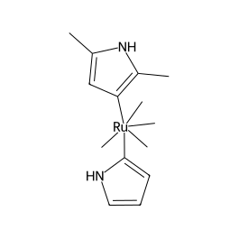 Cc1c[c]([Ru]([CH3])([CH3])([CH3])([CH3])[c]2ccc[nH]2)c(C)[nH]1